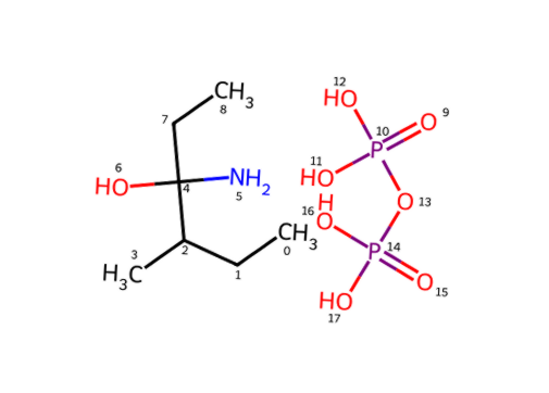 CCC(C)C(N)(O)CC.O=P(O)(O)OP(=O)(O)O